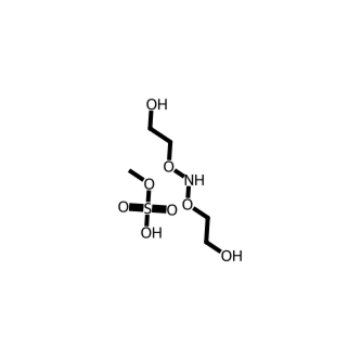 COS(=O)(=O)O.OCCONOCCO